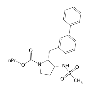 CCCOC(=O)N1CC[C@@H](NS(C)(=O)=O)[C@H]1Cc1cccc(-c2ccccc2)c1